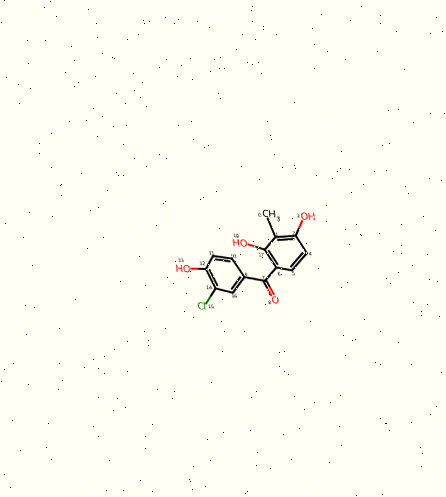 Cc1c(O)ccc(C(=O)c2ccc(O)c(Cl)c2)c1O